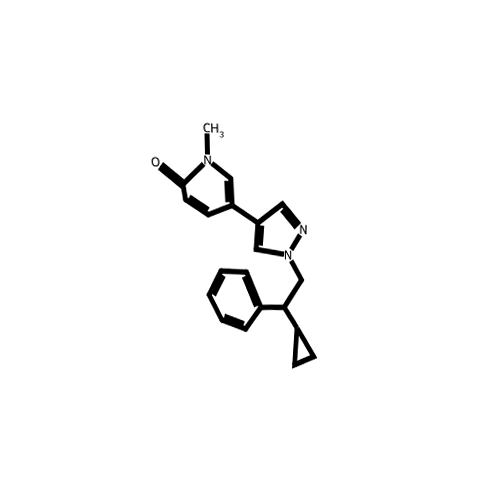 Cn1cc(-c2cnn(CC(c3ccccc3)C3CC3)c2)ccc1=O